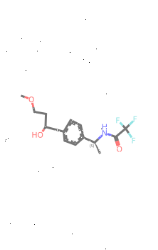 COCCC(O)c1ccc([C@H](C)NC(=O)C(F)(F)F)cc1